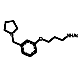 CC(=O)NCCCOc1cccc(CN2CCCC2)c1